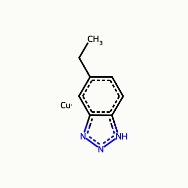 CCc1ccc2[nH]nnc2c1.[Cu]